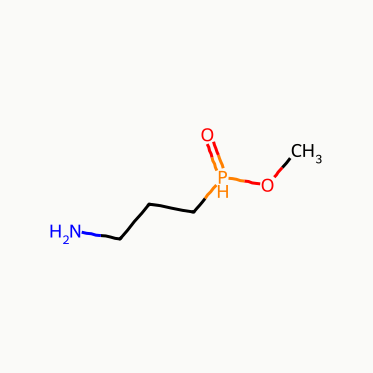 CO[PH](=O)CCCN